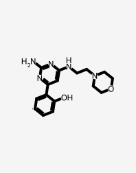 Nc1nc(NCCN2CCOCC2)cc(-c2c[c]ccc2O)n1